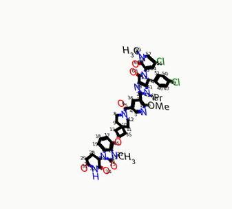 COc1ncc(C(=O)N2CCC3(CC2)CC(Oc2cccc4c2n(C)c(=O)n4C2CCC(=O)NC2=O)C3)cc1-c1nc2c(n1C(C)C)[C@H](c1ccc(Cl)cc1)N(c1cc(Cl)cn(C)c1=O)C2=O